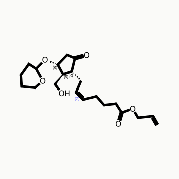 C=CCOC(=O)CCC/C=C\C[C@H]1C(=O)C[C@@H](OC2CCCCO2)[C@@H]1CO